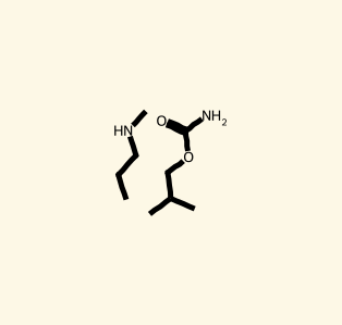 CC(C)COC(N)=O.CCCNC